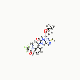 CSc1ncc2c(n1)N(CCO[Si](C)(C)C(C)(C)C)C(=O)N(C1CCN(C(=O)C(F)(F)F)c3c(C)cccc31)C2